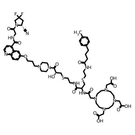 Cc1ccc(CCCC(=O)NCCSCC(NC(=O)CN2CCN(CC(=O)O)CCN(CC(=O)O)CCN(CC(=O)O)CC2)C(=O)NCCSC[C@@H](O)C(=O)N2CCN(CCCOc3ccc4nccc(C(=O)NCC(=O)N5CC(F)(F)C[C@@H]5C#N)c4c3)CC2)cc1